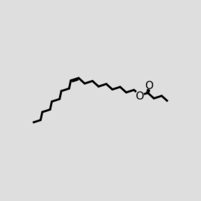 CCCCCCCC/C=C\CCCCCCCCOC(=O)CCC